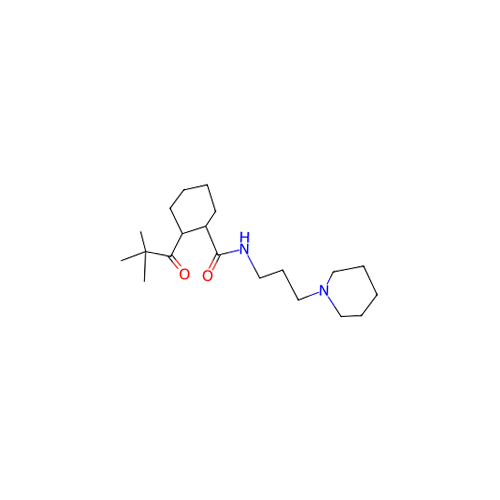 CC(C)(C)C(=O)C1CCCCC1C(=O)NCCCN1CCCCC1